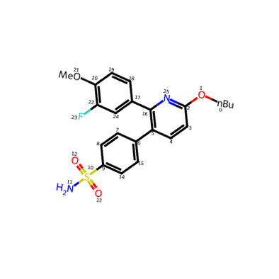 CCCCOc1ccc(-c2ccc(S(N)(=O)=O)cc2)c(-c2ccc(OC)c(F)c2)n1